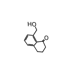 O=C1CCCc2cccc(CO)c21